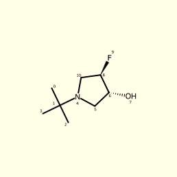 CC(C)(C)N1C[C@@H](O)[C@H](F)C1